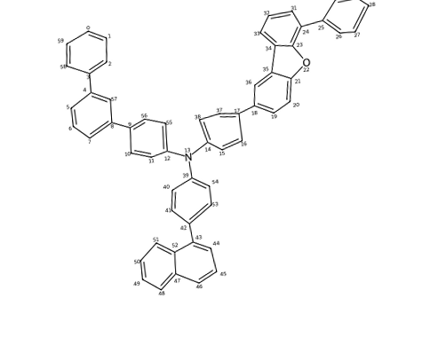 c1ccc(-c2cccc(-c3ccc(N(c4ccc(-c5ccc6oc7c(-c8ccccc8)cccc7c6c5)cc4)c4ccc(-c5cccc6ccccc56)cc4)cc3)c2)cc1